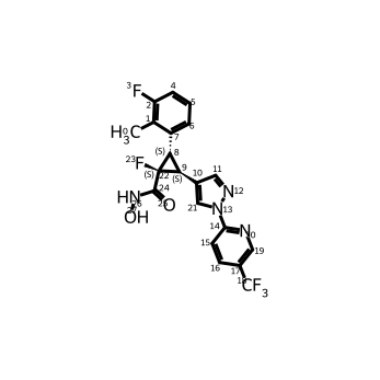 Cc1c(F)cccc1[C@@H]1[C@@H](c2cnn(-c3ccc(C(F)(F)F)cn3)c2)[C@]1(F)C(=O)NO